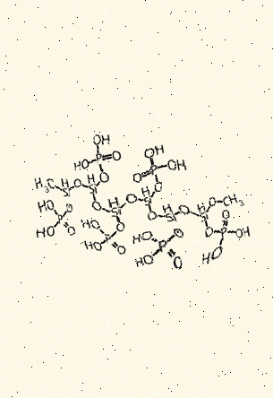 CO[SiH](O[SiH](O[SiH](O[SiH](O[SiH](O[SiH](C)OP(=O)(O)O)OP(=O)(O)O)OP(=O)(O)O)OP(=O)(O)O)OP(=O)(O)O)OP(=O)(O)O